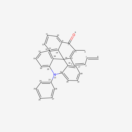 C=C/C=C\C1=C(C)C(=O)c2ccccc2C12c1ccccc1N(c1ccccc1)c1ccccc12